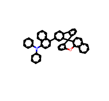 c1ccc(N(c2ccccc2)c2ccc(-c3ccc4c(c3)C3(c5ccccc5Oc5c3ccc3ccccc53)c3ccccc3-4)c3ccccc23)cc1